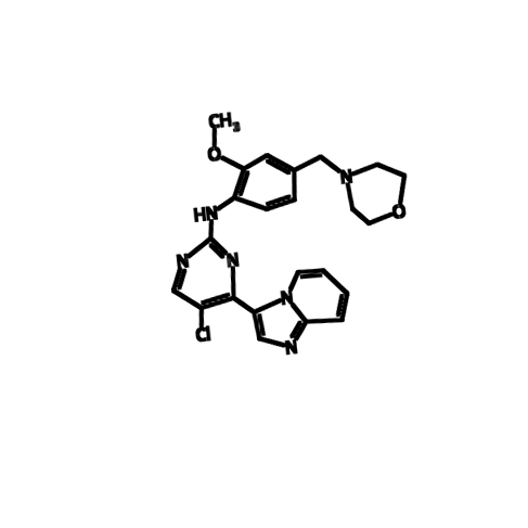 COc1cc(CN2CCOCC2)ccc1Nc1ncc(Cl)c(-c2cnc3ccccn23)n1